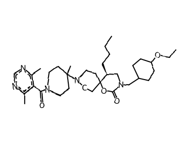 CCCC[C@H]1CN(CC2CCC(OCC)CC2)C(=O)OC12CCN(C1(C)CCN(C(=O)c3c(C)ncnc3C)CC1)CC2